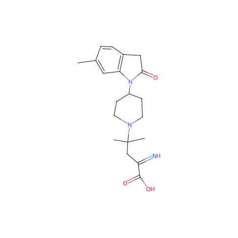 Cc1ccc2c(c1)N(C1CCN(C(C)(C)CC(=N)C(=O)O)CC1)C(=O)C2